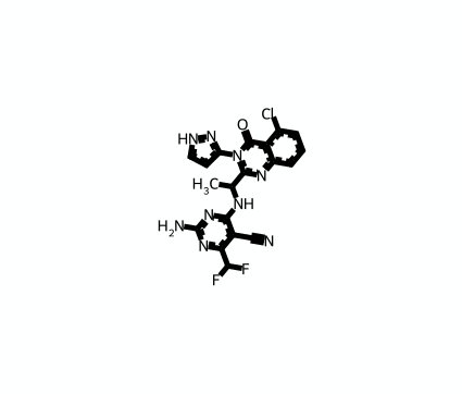 CC(Nc1nc(N)nc(C(F)F)c1C#N)c1nc2cccc(Cl)c2c(=O)n1-c1cc[nH]n1